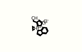 CCC1=[C]([Hf+2]2([CH]3C=Cc4ccccc43)[CH2][CH2]2)CC=C1.[Cl-].[Cl-]